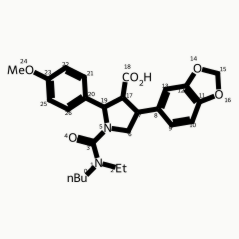 CCCCN(CC)C(=O)N1CC(c2ccc3c(c2)OCO3)C(C(=O)O)C1c1ccc(OC)cc1